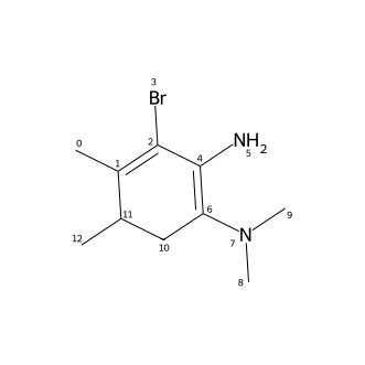 CC1=C(Br)C(N)=C(N(C)C)CC1C